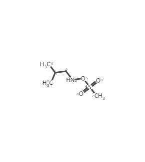 CC(C)CNOS(C)(=O)=O